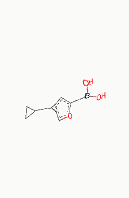 OB(O)c1cc(C2CC2)co1